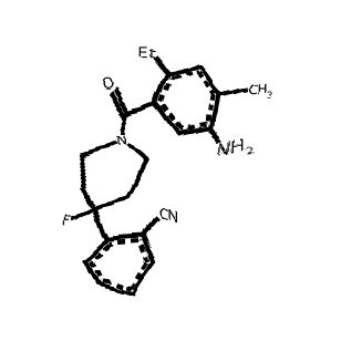 CCc1cc(C)c(N)cc1C(=O)N1CCC(F)(c2ccccc2C#N)CC1